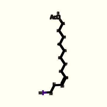 CC(=O)OCCCCCCCC/C=C\CCI